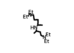 CCN(CC)CCCC(C)NC(C)CCN(CC)CC